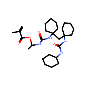 C=C(C)C(=O)OC(C)NC(=O)NC1(CC2(NC(=O)NC3CCCCC3)CCCCC2)CCCCC1